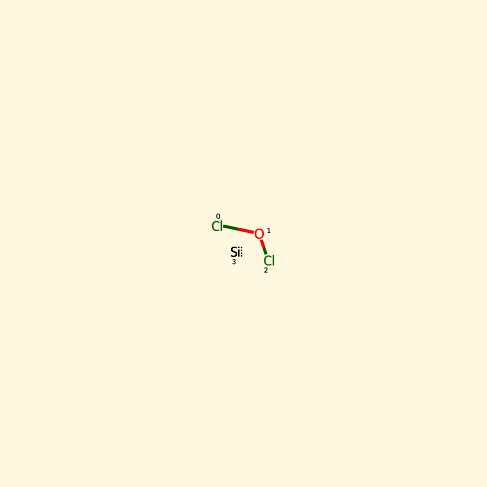 ClOCl.[Si]